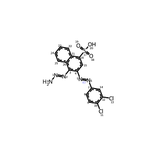 NN=Nc1c(/N=N/c2ccc(Cl)c(Cl)c2)cc(S(=O)(=O)O)c2ccccc12